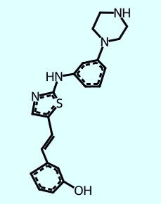 Oc1cccc(C=Cc2cnc(Nc3cccc(N4CCNCC4)c3)s2)c1